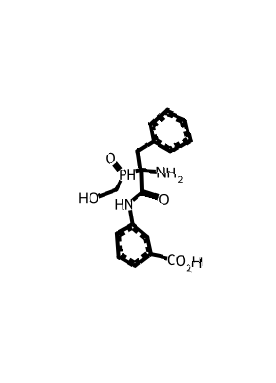 NC(Cc1ccccc1)(C(=O)Nc1cccc(C(=O)O)c1)[PH](=O)CO